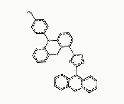 CC(C)(C)c1ccc(N2c3ccccc3Sc3c(-c4nsc(-c5c6ccccc6cc6ccccc56)n4)cccc32)cc1